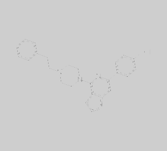 Oc1ccc(-c2cc3sccc3c(N3CCN(CCc4ccccc4)CC3)n2)cc1